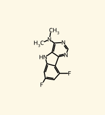 CN(C)c1ncnc2c1[nH]c1cc(F)cc(F)c12